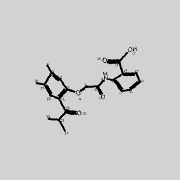 Cc1cc(OCC(=O)Nc2ccccc2C(=O)O)c(C(=O)C(C)C)cc1C